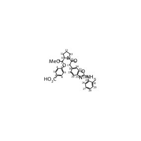 COC(Oc1ccc(C(=O)O)cc1)[C@H]1CCCN1C(=O)Cc1ccc2nc(Nc3ccccc3C)oc2c1